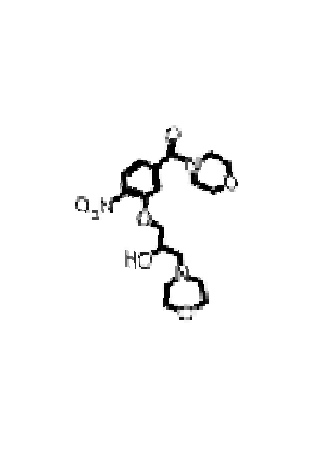 O=C(c1ccc([N+](=O)[O-])c(OCC(O)CN2CCOCC2)c1)N1CCOCC1